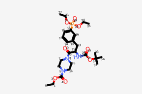 CCOC(=O)N1CCN(C(=O)C(Cc2cccc(P(=O)(OCC)OCC)c2)NC(=O)OC(C)(C)C)CC1